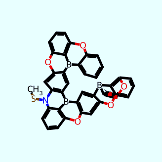 CSN1c2cc3c(cc2B2c4cc5c(cc4Oc4cccc1c42)Oc1cccc2c1B5c1ccccc1O2)B1c2ccccc2Oc2cccc(c21)O3